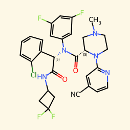 CN1CCN(c2cc(C#N)ccn2)[C@H](C(=O)N(c2cc(F)cc(F)c2)[C@H](C(=O)NC2CC(F)(F)C2)c2ccccc2Cl)C1